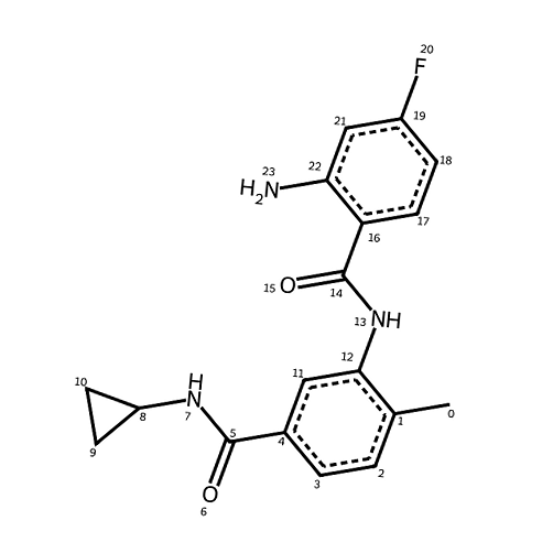 Cc1ccc(C(=O)NC2CC2)cc1NC(=O)c1ccc(F)cc1N